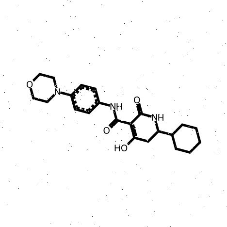 O=C(Nc1ccc(N2CCOCC2)cc1)C1=C(O)CC(C2CCCCC2)NC1=O